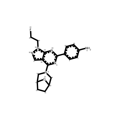 Nc1ccc(-c2nc(N3CC4CCC(C3)O4)c3cnn(CCF)c3n2)cc1